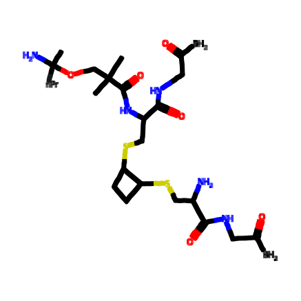 BC(=O)CNC(=O)C(N)CSC1CCC1SCC(NC(=O)C(C)(C)COC(C)(N)CCC)C(=O)NCC(B)=O